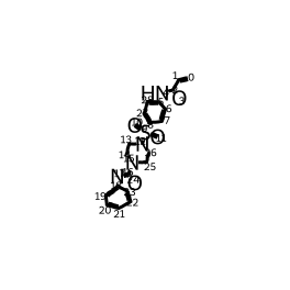 C=CC(=O)Nc1ccc(S(=O)(=O)N2CCN(c3nc4ccccc4o3)CC2)cc1